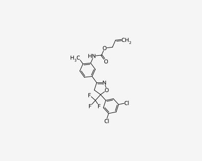 C=CCOC(=O)Nc1cc(C2=NOC(c3cc(Cl)cc(Cl)c3)(C(F)(F)F)C2)ccc1C